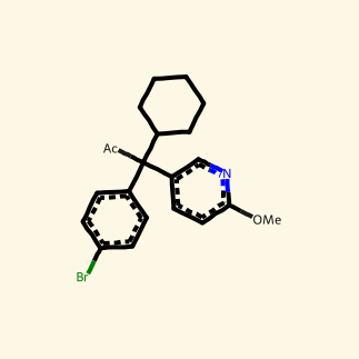 COc1ccc(C(C(C)=O)(c2ccc(Br)cc2)C2CCCCC2)cn1